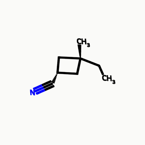 CC[C@]1(C)C[C@H](C#N)C1